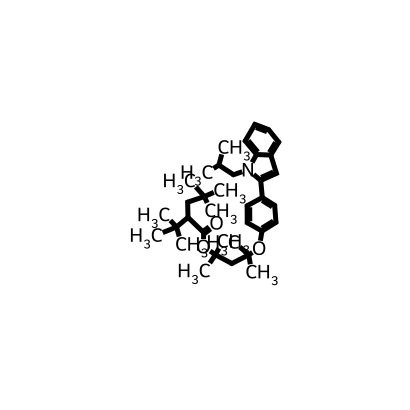 CC(C)Cn1c(-c2ccc(OC(C)(C)CC(C)(C)OC(=O)C(CC(C)(C)C)C(C)(C)C)cc2)cc2ccccc21